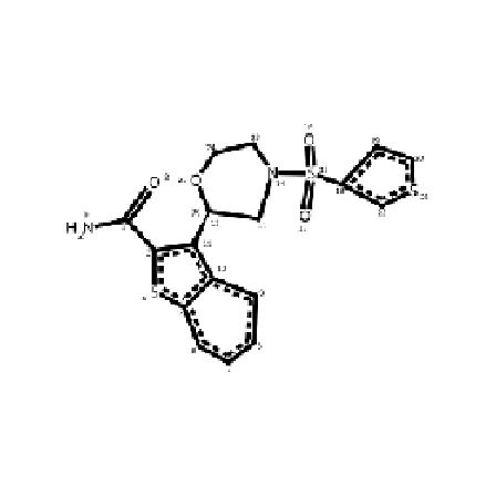 NC(=O)c1sc2ccccc2c1[C@@H]1CN(S(=O)(=O)c2ccsc2)CCO1